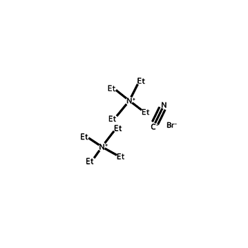 CC[N+](CC)(CC)CC.CC[N+](CC)(CC)CC.[Br-].[C-]#N